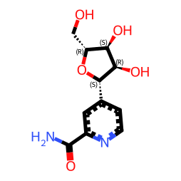 NC(=O)c1cc([C@@H]2O[C@H](CO)[C@@H](O)[C@H]2O)ccn1